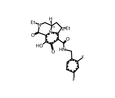 CC[C@@H]1C[C@H]2CN(CC)C(=O)c3c(O)c(=O)c(C(=O)NCc4ccc(F)cc4F)c1n32